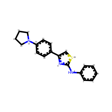 c1ccc(Nc2nc(-c3ccc(N4CCCC4)cc3)cs2)cc1